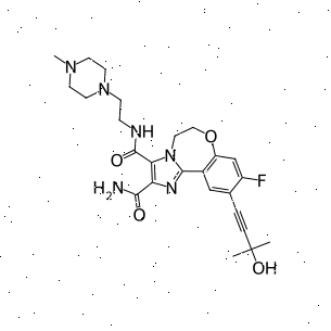 CN1CCN(CCNC(=O)c2c(C(N)=O)nc3n2CCOc2cc(F)c(C#CC(C)(C)O)cc2-3)CC1